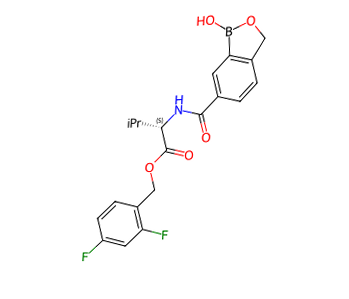 CC(C)[C@H](NC(=O)c1ccc2c(c1)B(O)OC2)C(=O)OCc1ccc(F)cc1F